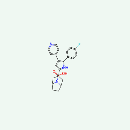 O=C(O)N1C2CCC1CC(c1cc(-c3ccncc3)c(-c3ccc(F)cc3)[nH]1)C2